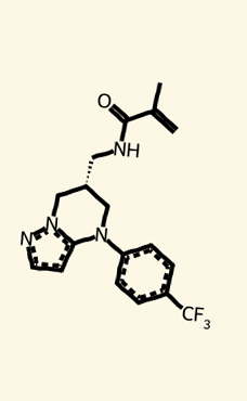 C=C(C)C(=O)NC[C@@H]1CN(c2ccc(C(F)(F)F)cc2)c2ccnn2C1